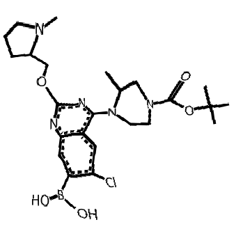 CC1CN(C(=O)OC(C)(C)C)CCN1c1nc(OCC2CCCN2C)nc2cc(B(O)O)c(Cl)cc12